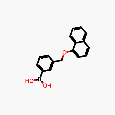 OB(O)c1cccc(COc2cccc3ccccc23)c1